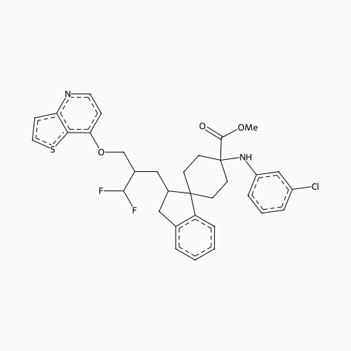 COC(=O)C1(Nc2cccc(Cl)c2)CCC2(CC1)c1ccccc1CC2CC(COc1ccnc2ccsc12)C(F)F